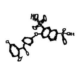 O=C(c1ccc(Oc2cc3ccc(S(=O)(=O)O)cc3cc2S(=O)(=O)O)cc1)c1cc(Cl)ccc1Cl